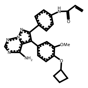 C=CC(=O)Nc1ccc(-c2nn3ncnc(N)c3c2-c2ccc(OC3CCC3)c(OC)c2)cc1